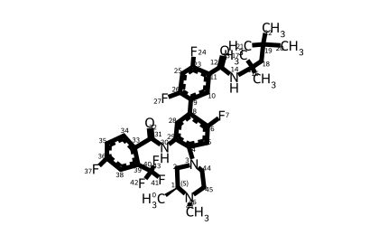 C[C@H]1CN(c2cc(F)c(-c3cc(C(=O)NC(C)(C)CC(C)(C)C)c(F)cc3F)cc2NC(=O)c2ccc(F)cc2C(F)(F)F)CCN1C